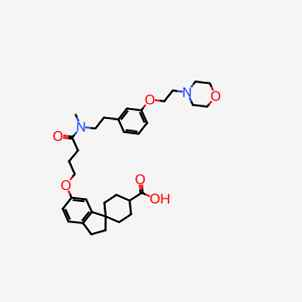 CN(CCc1cccc(OCCN2CCOCC2)c1)C(=O)CCCOc1ccc2c(c1)C1(CC2)CCC(C(=O)O)CC1